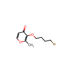 Cc1occc(=O)c1OCCCCBr